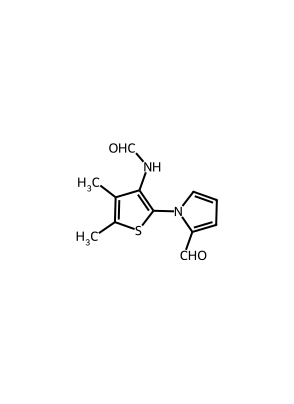 Cc1sc(-n2cccc2C=O)c(NC=O)c1C